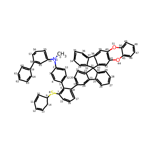 CN(c1ccc(-c2c(SC3C=CC=CC3)cccc2-c2ccc3c(c2)-c2ccccc2C32c3ccccc3-c3cc4c(cc32)Oc2ccccc2O4)cc1)c1cccc(-c2ccccc2)c1